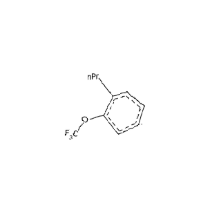 CCCc1cc[c]cc1OC(F)(F)F